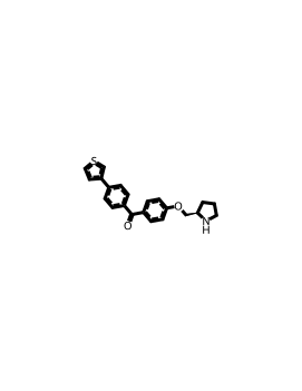 O=C(c1ccc(OC[C@H]2CCCN2)cc1)c1ccc(-c2ccsc2)cc1